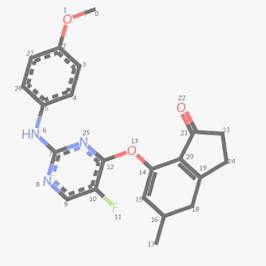 COc1ccc(Nc2ncc(F)c(OC3=CC(C)CC4=C3C(=O)CC4)n2)cc1